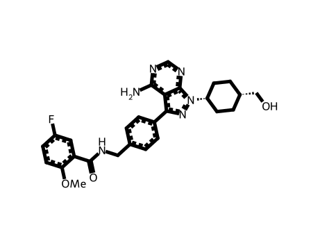 COc1ccc(F)cc1C(=O)NCc1ccc(-c2nn([C@H]3CC[C@@H](CO)CC3)c3ncnc(N)c23)cc1